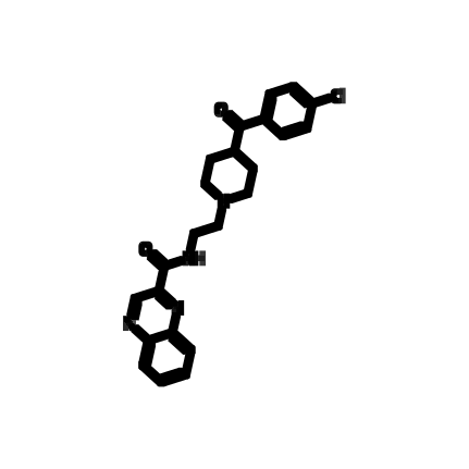 O=C(NCCN1CCC(C(=O)c2ccc(Cl)cc2)CC1)c1cnc2ccccc2n1